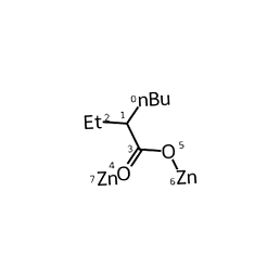 CCCCC(CC)C(=O)[O][Zn].[Zn]